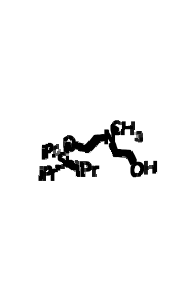 CC(C)[Si](OCCN(C)CCO)(C(C)C)C(C)C